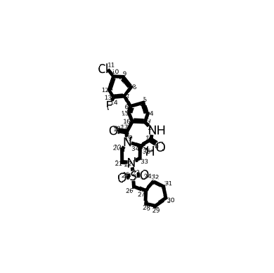 O=C1Nc2ccc(-c3ccc(Cl)cc3F)cc2C(=O)N2CCN(S(=O)(=O)CC3CCCCC3)C[C@H]12